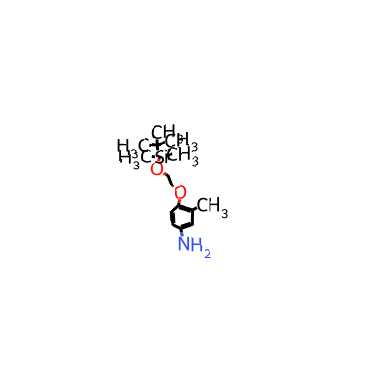 Cc1cc(N)ccc1OCCO[Si](C)(C)C(C)(C)C